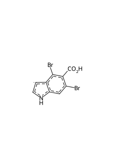 O=C(O)c1c(Br)cc2[nH]c[c]c2c1Br